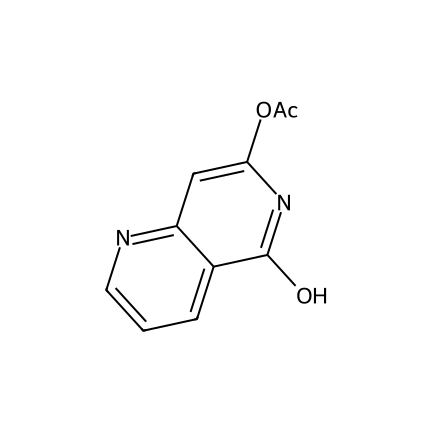 CC(=O)Oc1cc2ncccc2c(O)n1